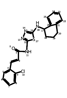 O=C(/C=C/c1ccccc1Cl)Nc1nnc(NC2CCCc3ccccc32)s1